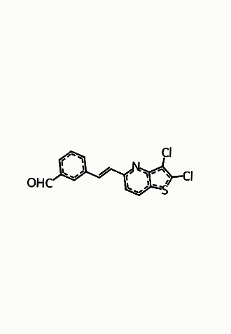 O=Cc1cccc(/C=C/c2ccc3sc(Cl)c(Cl)c3n2)c1